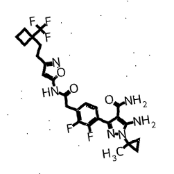 CC1(n2nc(-c3ccc(CC(=O)Nc4cc(CCC5(C(F)(F)F)CCC5)no4)c(F)c3F)c(C(N)=O)c2N)CC1